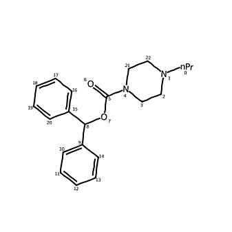 [CH2]CCN1CCN(C(=O)OC(c2ccccc2)c2ccccc2)CC1